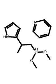 CO[SiH](CC(C)c1ccc[nH]1)OC.c1ccncc1